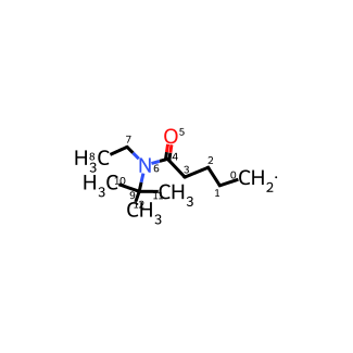 [CH2]CCCC(=O)N(CC)C(C)(C)C